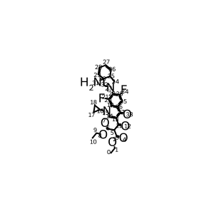 CCOC(=O)C(C(=O)OCC)C(=O)c1cn(C2CC2)c2c(F)c(N3CC4C=CC=CC4(N)C3)c(F)cc2c1=O